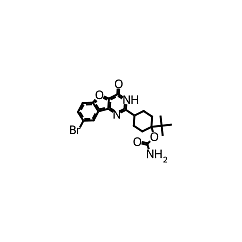 CC(C)(C)C1(OC(N)=O)CCC(c2nc3c(oc4ccc(Br)cc43)c(=O)[nH]2)CC1